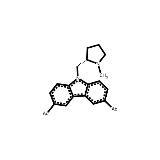 CC(=O)c1ccc2c(c1)c1cc(C(C)=O)ccc1n2C[C@@H]1CCCN1C